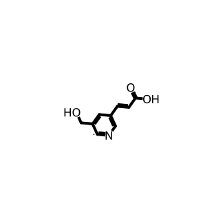 O=C(O)/C=C/c1cn[c]c(CO)c1